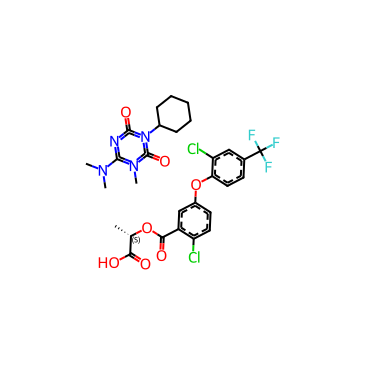 CN(C)c1nc(=O)n(C2CCCCC2)c(=O)n1C.C[C@H](OC(=O)c1cc(Oc2ccc(C(F)(F)F)cc2Cl)ccc1Cl)C(=O)O